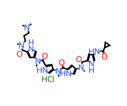 CN(C)CCCN(C)C(=O)c1cc(N(C)C(=O)c2cc(N(C)C(=O)c3cc(N(C)C(=O)c4cc(NC(=O)C5CC5)c[nH]4)c[nH]3)c[nH]2)c[nH]1.Cl